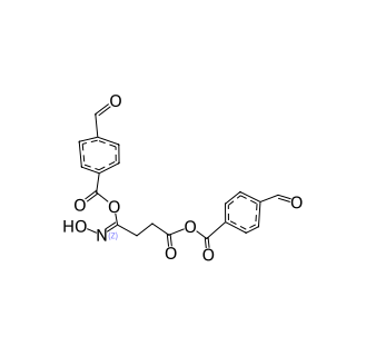 O=Cc1ccc(C(=O)OC(=O)CC/C(=N/O)OC(=O)c2ccc(C=O)cc2)cc1